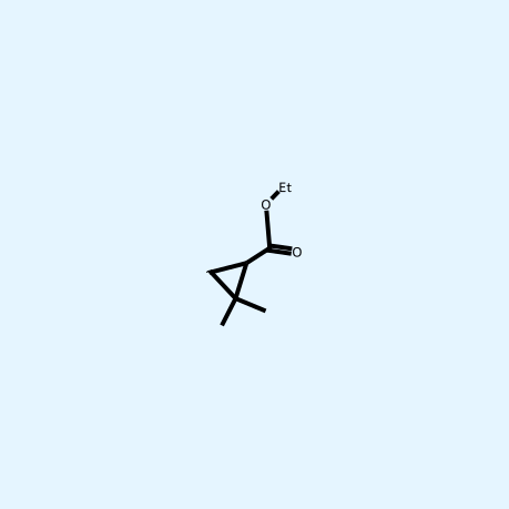 CCOC(=O)C1[CH]C1(C)C